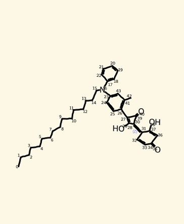 CCCCCCCCCCCCCCCCN(c1ccccc1)c1ccc(C2=C(O)/C(=C3\C=CC(=O)C=C3O)C2=O)c(C)c1